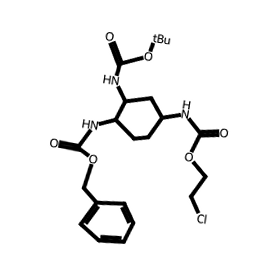 CC(C)(C)OC(=O)NC1CC(NC(=O)OCCCl)CCC1NC(=O)OCc1ccccc1